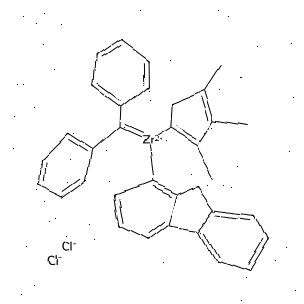 CC1=C(C)C(C)=[C]([Zr+2](=[C](c2ccccc2)c2ccccc2)[c]2cccc3c2Cc2ccccc2-3)C1.[Cl-].[Cl-]